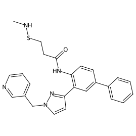 CNSCCC(=O)Nc1ccc(-c2ccccc2)cc1-c1ccn(Cc2cccnc2)n1